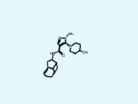 CC(C)(C)n1ncc(C(=O)NC2CC3=CCC4CC3C2C4)c1N1CCC(O)CC1